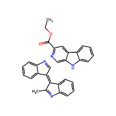 CC1=Nc2ccccc2C1=C1C=Nc2ccccc21.CCOC(=O)c1cc2c(cn1)[nH]c1ccccc12